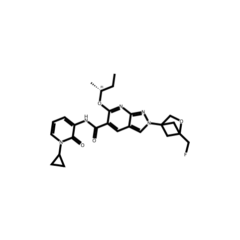 CC[C@@H](C)Oc1nc2nn(C34COC(CF)(C3)C4)cc2cc1C(=O)Nc1cccn(C2CC2)c1=O